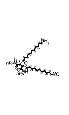 CCCNC(=O)[C@H](OC(=O)CCCCCCCCCCN)[C@@H](OC(=O)CCCCCCCCCCN=O)C(=O)NCCC